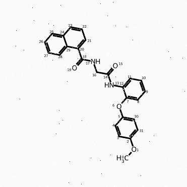 COc1ccc(Oc2ccccc2NC(=O)CNC(=O)c2cccc3ccccc23)cc1